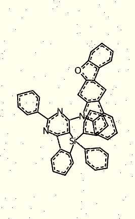 c1ccc(-c2nc3c(c(-n4c5ccccc5c5cc6c(cc54)oc4ccccc46)n2)[Si](c2ccccc2)(c2ccccc2)c2ccccc2-3)cc1